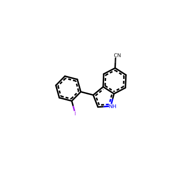 N#Cc1ccc2[nH]cc(-c3ccccc3I)c2c1